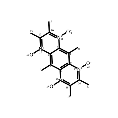 Cc1c2c(c(C)c3c1[n+]([O-])c(C)c(C)[n+]3[O-])[n+]([O-])c(C)c(C)[n+]2[O-]